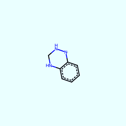 c1ccc2c(c1)[N]NCN2